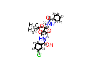 CC1(C)O[C@@H]2[C@@H](CNC(O)c3cccc(Cl)c3)OC[C@]2(CNC(=O)c2ccccc2)O1